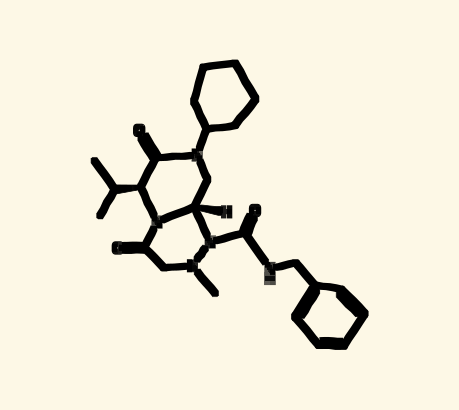 CC(C)[C@H]1C(=O)N(C2CCCCC2)C[C@H]2N1C(=O)CN(C)N2C(=O)NCc1ccccc1